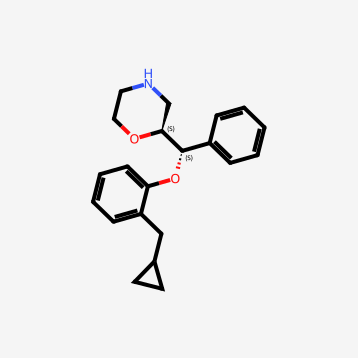 c1ccc([C@H](Oc2ccccc2CC2CC2)[C@@H]2CNCCO2)cc1